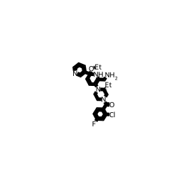 CCOC1(c2cccnc2)C=CC(N2CCN(C(=O)c3ccc(F)cc3Cl)C[C@H]2CC)=C(CN)N1